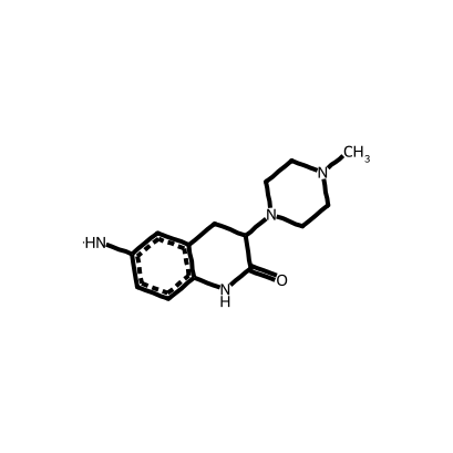 CN1CCN(C2Cc3cc([NH])ccc3NC2=O)CC1